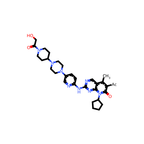 CC(=O)c1c(C)c2cnc(Nc3ccc(N4CCN(C5CCN(C(=O)CO)CC5)CC4)cn3)nc2n(C2CCCC2)c1=O